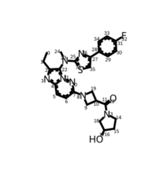 CCc1nc2ccc(N3CC(C(=O)N4CCC(O)C4)C3)nn2c1N(C)c1nc(-c2ccc(F)cc2)cs1